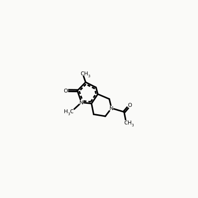 CC(=O)N1CCc2c(cc(C)c(=O)n2C)C1